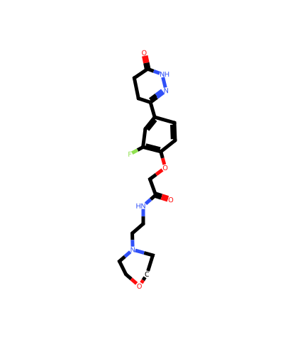 O=C(COc1ccc(C2=NNC(=O)CC2)cc1F)NCCN1CCOCC1